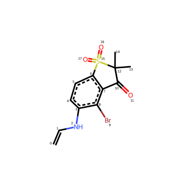 C=CNc1ccc2c(c1Br)C(=O)C(C)(C)S2(=O)=O